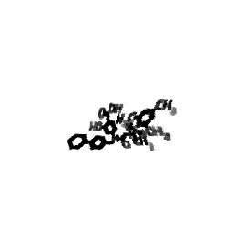 Cc1cc(C)c(S(=O)(=O)N(C)CC(=O)N(Cc2ccc(C3CCCCC3)cc2)c2ccc(C(=O)O)c(O)c2)c(C)c1